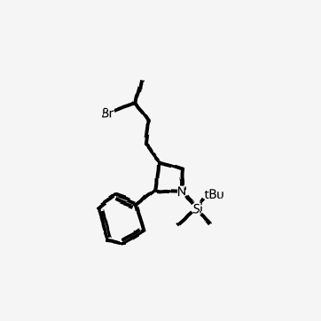 CC(Br)CCC1CN([Si](C)(C)C(C)(C)C)C1c1ccccc1